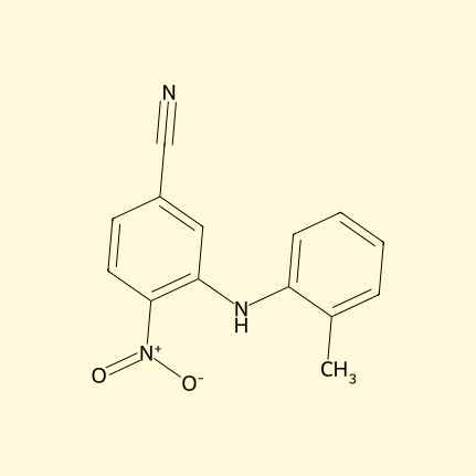 Cc1ccccc1Nc1cc(C#N)ccc1[N+](=O)[O-]